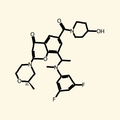 CC(c1cc(C(=O)N2CCC(O)CC2)cc2c(=O)cc(N3CCO[C@H](C)C3)oc12)N(C)c1cc(F)cc(F)c1